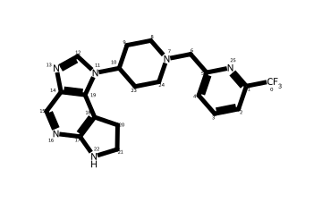 FC(F)(F)c1cccc(CN2CCC(n3cnc4cnc5c(c43)CCN5)CC2)n1